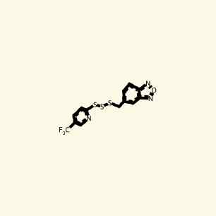 FC(F)(F)c1ccc(SSSCc2ccc3nonc3c2)nc1